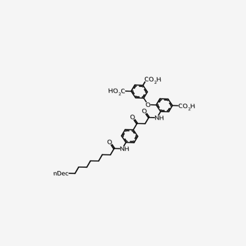 CCCCCCCCCCCCCCCCCC(=O)Nc1ccc(C(=O)CC(=O)Nc2cc(C(=O)O)ccc2Oc2cc(C(=O)O)cc(C(=O)O)c2)cc1